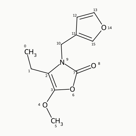 CCc1c(OC)oc(=O)n1Cc1ccoc1